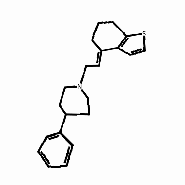 C(/CN1CCC(c2ccccc2)CC1)=C1/CCCc2sccc21